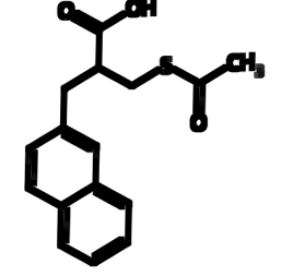 CC(=O)SCC(Cc1ccc2ccccc2c1)C(=O)O